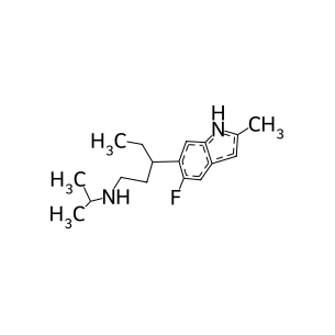 CCC(CCNC(C)C)c1cc2[nH]c(C)cc2cc1F